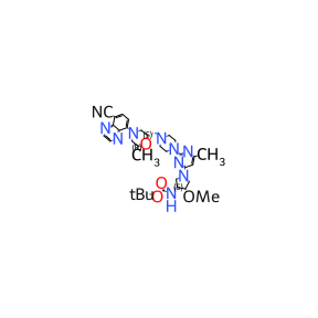 COC1CN(c2cc(C)nc(N3CCN(C[C@H]4CN(c5ccc(C#N)c6nccnc56)C[C@@H](C)O4)CC3)n2)C[C@@H]1NC(=O)OC(C)(C)C